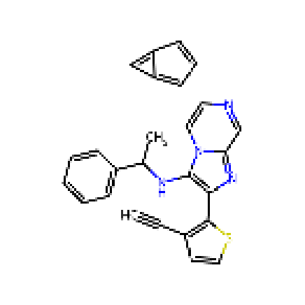 C#Cc1ccsc1-c1nc2cnccn2c1NC(C)c1ccccc1.c1cc2cc-2c1